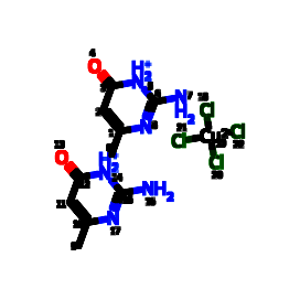 CC1=CC(=O)[NH2+]C(N)=N1.CC1=CC(=O)[NH2+]C(N)=N1.[Cl][Cu-2]([Cl])([Cl])[Cl]